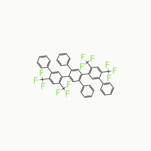 FC(F)(F)c1cc(C(F)(F)F)c(-c2cc(-c3ccccc3)c(-c3cc(-c4ccccc4)c(C(F)(F)F)cc3C(F)(F)F)cc2-c2ccccc2)cc1-c1ccccc1